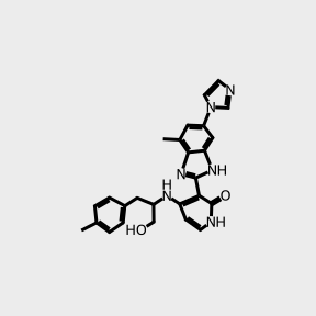 Cc1ccc(CC(CO)Nc2cc[nH]c(=O)c2-c2nc3c(C)cc(-n4ccnc4)cc3[nH]2)cc1